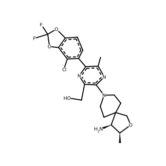 Cc1nc(N2CCC3(CC2)CO[C@@H](C)[C@H]3N)c(CO)nc1-c1ccc2c(c1Cl)OC(F)(F)O2